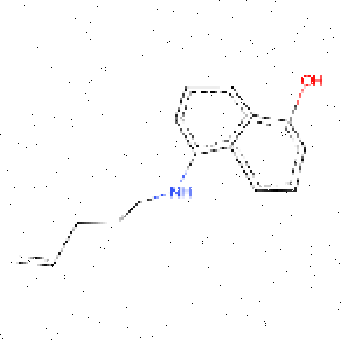 C=CCCCNc1cccc2c(O)cccc12